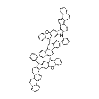 c1ccc(-n2c3cc4c(cc3c3c5ccc6c7ccccc7ccc6c5ccc32)Oc2ccccc2N4c2cc3c4ccccc4c(N4c5ccccc5Oc5cc6c7c8ccc9c%10ccccc%10ccc9c8ccc7n(-c7ccccc7)c6cc54)cc3c3ccccc23)cc1